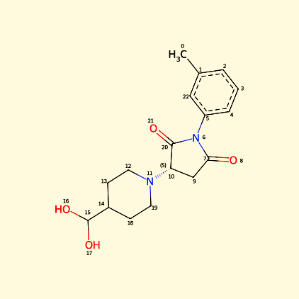 Cc1cccc(N2C(=O)C[C@H](N3CCC(C(O)O)CC3)C2=O)c1